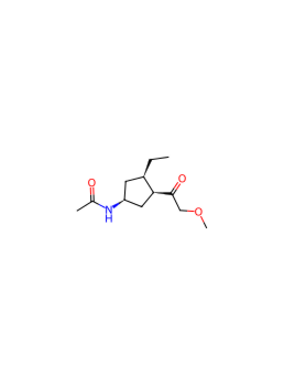 CC[C@@H]1C[C@H](NC(C)=O)C[C@@H]1C(=O)COC